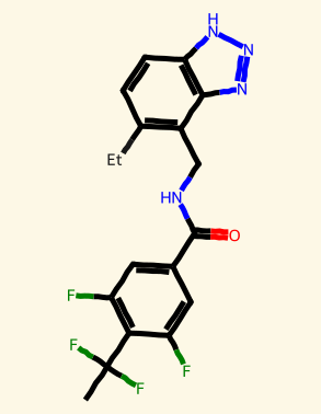 CCc1ccc2[nH]nnc2c1CNC(=O)c1cc(F)c(C(C)(F)F)c(F)c1